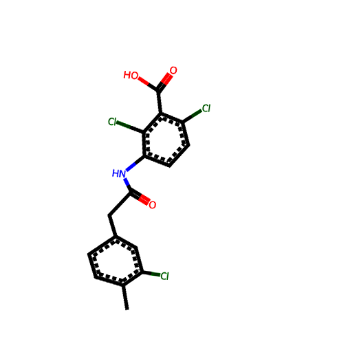 Cc1ccc(CC(=O)Nc2ccc(Cl)c(C(=O)O)c2Cl)cc1Cl